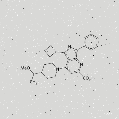 COC(C)C1CCN(c2cc(C(=O)O)nc3c2c(C2CCC2)nn3-c2ccccc2)CC1